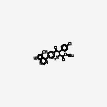 Cc1c[nH]c2ncnc(N3CCN(C(=O)C(c4ccc(Cl)cc4)C(N)C(=O)OC(C)(C)C)CC3)c12